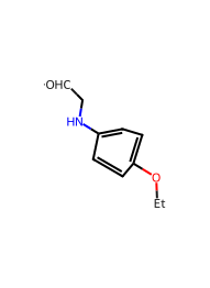 CCOc1ccc(NC[C]=O)cc1